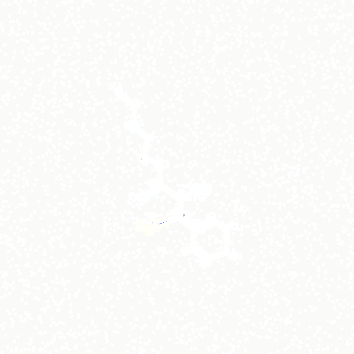 CCOCCOC(=O)C(O)[C@H](N)c1ccccc1